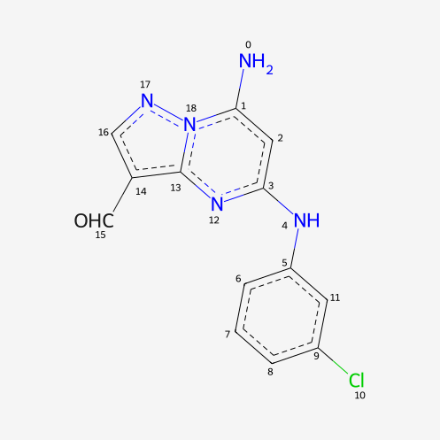 Nc1cc(Nc2cccc(Cl)c2)nc2c(C=O)cnn12